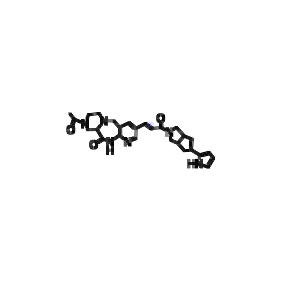 CC(=O)N1CCN2Cc3cc(/C=C/C(=O)N4CC5C=C(c6ccc[nH]6)CC5C4)cnc3NC(=O)C2C1